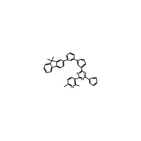 Cc1ccc(-c2nc(-c3ccccc3)nc(-c3cccc(-c4cccc(-c5ccc6c(c5)C(C)(C)c5ccccc5-6)c4)c3)n2)c(C)n1